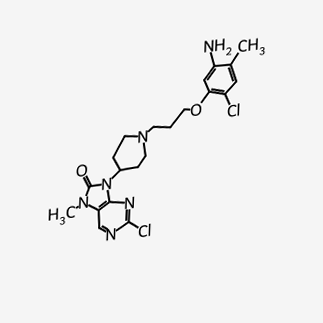 Cc1cc(Cl)c(OCCCN2CCC(n3c(=O)n(C)c4cnc(Cl)nc43)CC2)cc1N